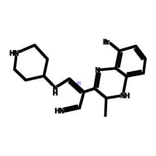 CC1Nc2cccc(Br)c2N=C1/C(C=N)=C/NC1CCNCC1